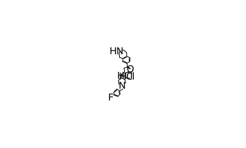 Cl.Cl.O=C(CCCC1CCN(Cc2ccc(F)cc2)CC1)c1ccc2c(c1)CCNCC2